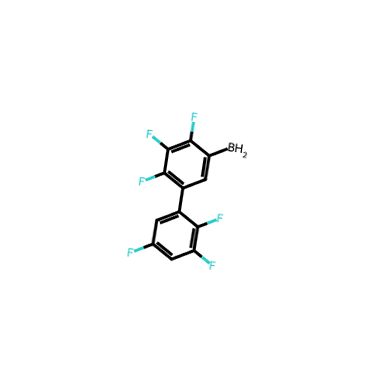 Bc1cc(-c2cc(F)cc(F)c2F)c(F)c(F)c1F